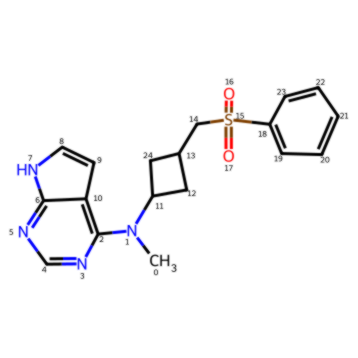 CN(c1ncnc2[nH]ccc12)C1CC(CS(=O)(=O)c2ccccc2)C1